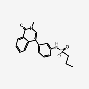 CCCS(=O)(=O)Nc1cccc(-c2cn(C)c(=O)c3ccccc23)c1